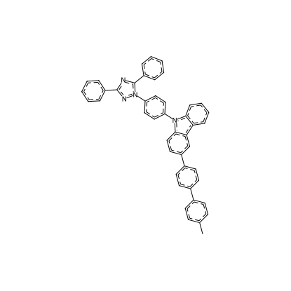 Cc1ccc(-c2ccc(-c3ccc4c(c3)c3ccccc3n4-c3ccc(-n4nc(-c5ccccc5)nc4-c4ccccc4)cc3)cc2)cc1